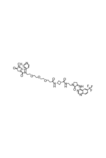 CN1C(=O)C[C@H](C(=O)NCCOCCOCCOCCC(=O)N[C@H]2C[C@H](C(=O)NCCN3CC[C@H](Nc4ncnc5ccc(C(F)(F)F)cc45)C3=O)C2)[C@H]1c1cccnc1